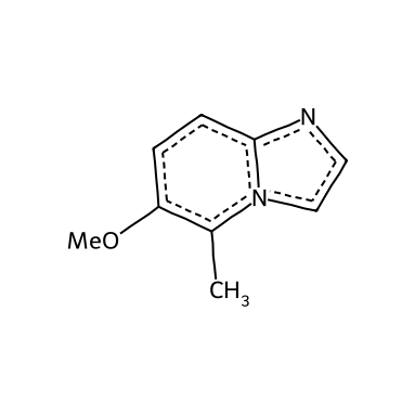 COc1ccc2nccn2c1C